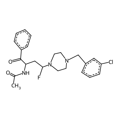 CC(=O)NC(CC(F)N1CCN(Cc2cccc(Cl)c2)CC1)C(=O)c1ccccc1